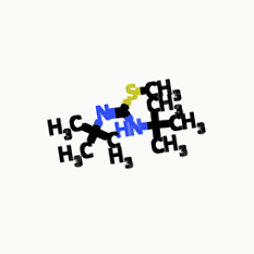 CS/C(=N/C(C)(C)C)NC(C)(C)C